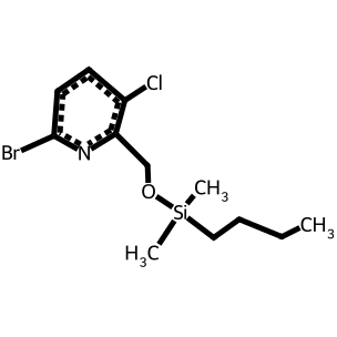 CCCC[Si](C)(C)OCc1nc(Br)ccc1Cl